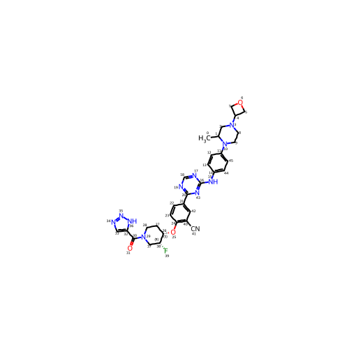 CC1CN(C2COC2)CCN1c1ccc(Nc2ncnc(-c3ccc(O[C@H]4CCN(C(=O)c5cnn[nH]5)C[C@H]4F)c(C#N)c3)n2)cc1